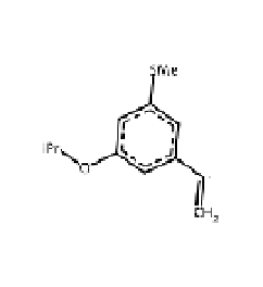 C=[C]c1cc(OC(C)C)cc(SC)c1